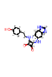 O=c1c(NCCc2ccc(O)cc2)c(Nc2ccc3[nH]cnc3c2)c1=O